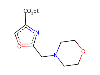 CCOC(=O)c1coc(CN2CCOCC2)n1